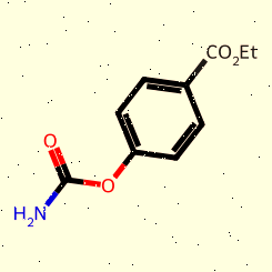 CCOC(=O)c1ccc(OC(N)=O)cc1